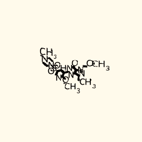 CCOc1ncc(S(=O)(=O)N2CCN(CC)CC2)cc1-c1nc2c(CC)nn(CCOC)c2c(=O)[nH]1